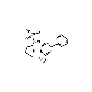 CC(C)S(=O)(=O)NC1CCCC1C1(C(=O)O)C=CC(c2ccccc2)C=C1